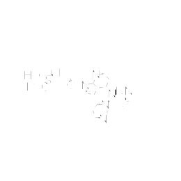 C[Si](C)(C)CCOCn1cc(-c2ccncn2)c2c(N3CCC[C@@]4(CCCCN4)C3)ccnc21